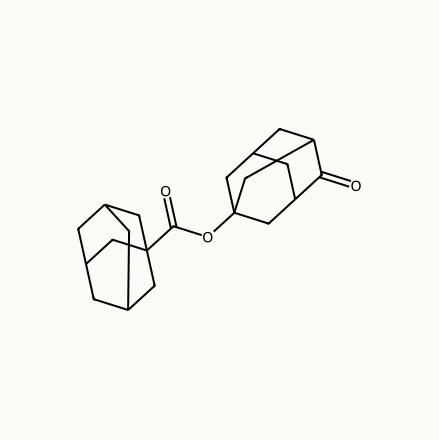 O=C1C2CC3CC1CC(OC(=O)C14CC5CC(CC(C5)C1)C4)(C3)C2